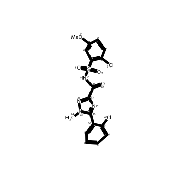 COc1ccc(Cl)c(S(=O)(=O)NC(=O)c2nc(-c3ccccc3Cl)n(C)n2)c1